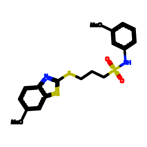 COc1cccc(NS(=O)(=O)CCCSc2nc3ccc(OC)cc3s2)c1